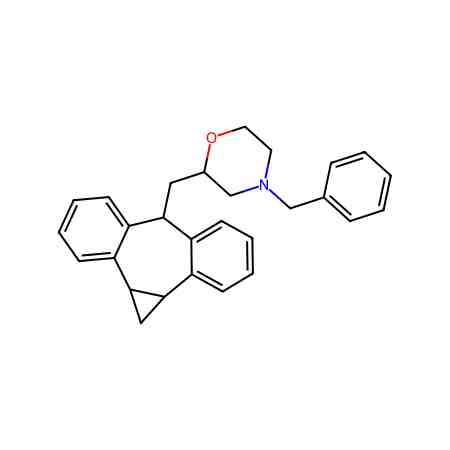 c1ccc(CN2CCOC(CC3c4ccccc4C4CC4c4ccccc43)C2)cc1